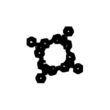 C1=CC(n2c3ccc4cc3c3cc(ccc32)c2ccc3c(c2)c2cc(ccc2n3-c2ccccc2)c2ccc3c(c2)c2cc(ccc2n3-c2ccccc2)c2ccc3c(c2)c2cc4ccc2n3-c2ccccc2)=CCC1